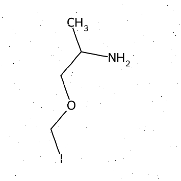 CC(N)COCI